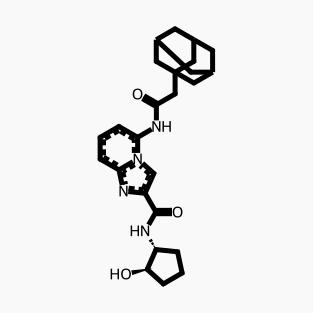 O=C(CC12CC3CC(CC(C3)C1)C2)Nc1cccc2nc(C(=O)N[C@@H]3CCC[C@H]3O)cn12